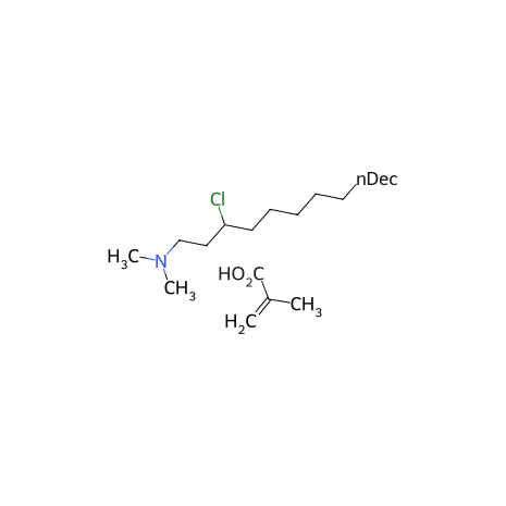 C=C(C)C(=O)O.CCCCCCCCCCCCCCCC(Cl)CCN(C)C